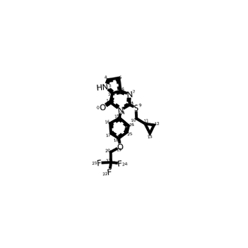 O=c1c2[nH]ccc2nc(SCC2CC2)n1-c1ccc(OCC(F)(F)F)cc1